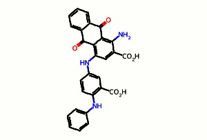 Nc1c(C(=O)O)cc(Nc2ccc(Nc3ccccc3)c(C(=O)O)c2)c2c1C(=O)c1ccccc1C2=O